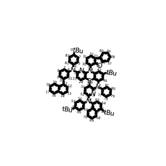 CC(C)(C)c1ccc(N(c2cccc(-c3cccc4ccccc34)c2)c2ccc3c(n2)N(c2cccc4c2oc2ccccc24)c2cc(C(C)(C)C)cc4c2B3c2ccc(N(c3ccc(C(C)(C)C)cc3)c3ccc(C(C)(C)C)c5ccccc35)nc2N4c2ccccc2)cc1